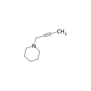 CC#CCN1CCCCC1